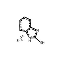 Sc1nc2ccccc2[nH]1.[S-2].[Zn+2]